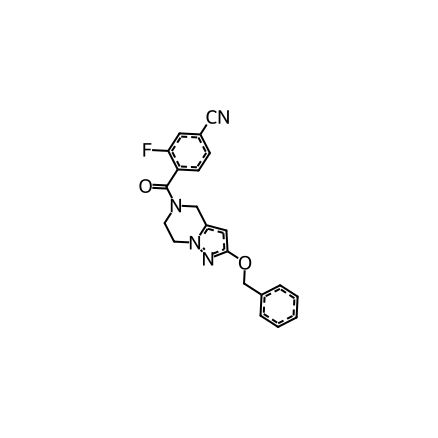 N#Cc1ccc(C(=O)N2CCn3nc(OCc4ccccc4)cc3C2)c(F)c1